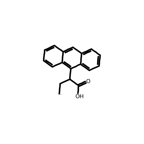 [CH2]CC(C(=O)O)c1c2ccccc2cc2ccccc12